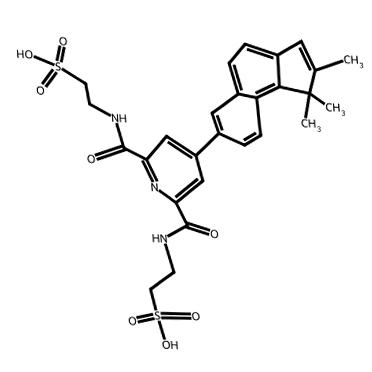 CC1=Cc2ccc3cc(-c4cc(C(=O)NCCS(=O)(=O)O)nc(C(=O)NCCS(=O)(=O)O)c4)ccc3c2C1(C)C